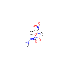 CCN(C)CCNC(=O)NC(=O)[C@@H]1CCCN1C(=O)[C@H](CC1CCCC1)CN(O)C=O